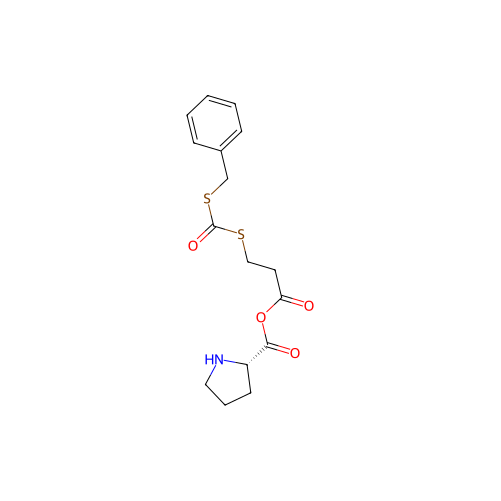 O=C(CCSC(=O)SCc1ccccc1)OC(=O)[C@@H]1CCCN1